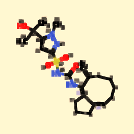 C=C1CCCC/C=C2/CCC/C2=C/1NC(=O)NS(=O)(=O)c1cc(C(C)(C)O)n(C)n1